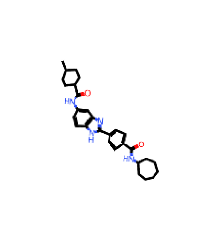 CC1CCC(C(=O)Nc2ccc3[nH]c(-c4ccc(C(=O)NC5CCCCCC5)cc4)nc3c2)CC1